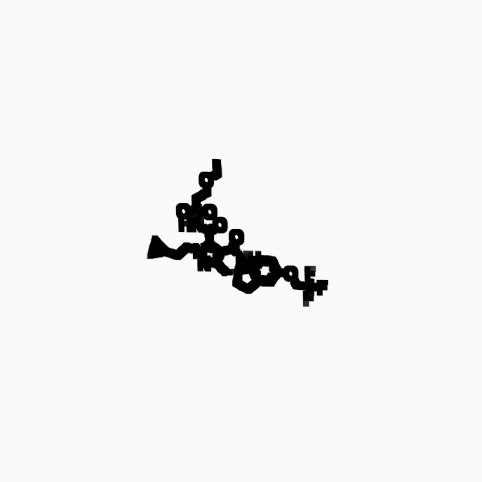 CCOCCS(=O)(=O)NC(=O)c1c2c(nn1CCC1CC1)C[C@]1(CCc3cc(OCC(F)(F)F)ccc31)NC2=O